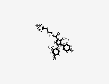 Cc1c(C(=O)NCCCc2nn[nH]n2)nn(-c2ccc(Cl)cc2Cl)c1-c1ccc(Cl)cc1